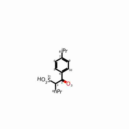 CCCC(C(=O)c1ccc(C(C)C)cc1)S(=O)(=O)O